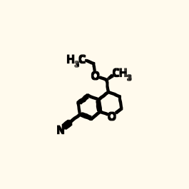 CCO[C@@H](C)C1CCOc2cc(C#N)ccc21